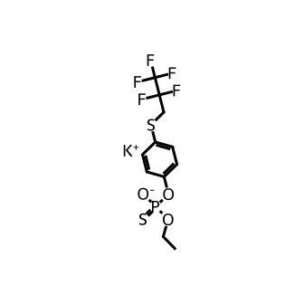 CCOP([O-])(=S)Oc1ccc(SCC(F)(F)C(F)(F)F)cc1.[K+]